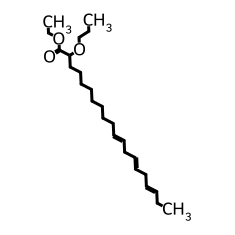 CCC=CCC=CCC=CCCCCCCCCC(OCCC)C(=O)OCC